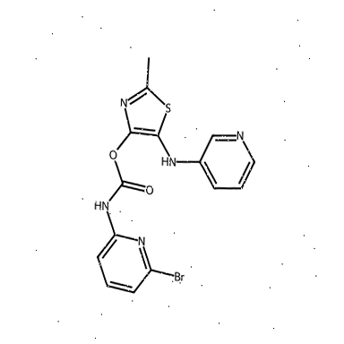 Cc1nc(OC(=O)Nc2cccc(Br)n2)c(Nc2cccnc2)s1